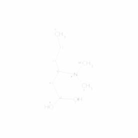 CCCC(CC(O)O)N(C)C